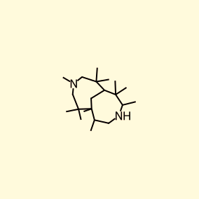 CC1NCC(C)C2(C)CC(C(C)(C)CN(C)CC2(C)C)C1(C)C